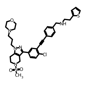 CS(=O)(=O)N1CCc2c(c(-c3ccc(Cl)c(C#Cc4ccc(CNCCc5cccs5)cc4)c3)nn2CCCN2CCOCC2)C1